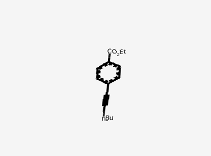 CCCCC#Cc1ccc(C(=O)OCC)cc1